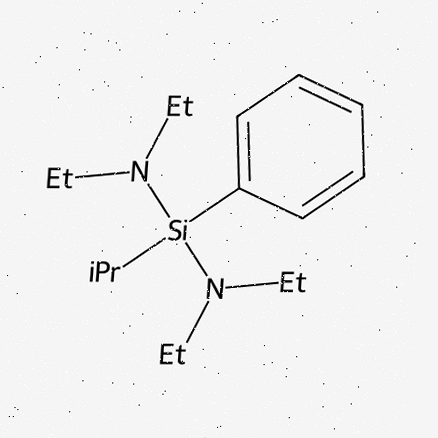 CCN(CC)[Si](c1ccccc1)(C(C)C)N(CC)CC